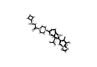 Cc1c(-c2[nH]c3ccc(N4CCN(C(=O)CNC5CCC5)CC4)nc3c2C(C)C)cn2ncnc2c1C